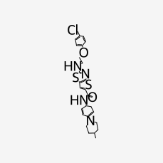 CC1CCN(C2=CCC(NC(=O)c3cc4sc(NCCOc5ccc(Cl)cc5)nc4s3)C=C2)CC1